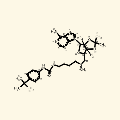 CN(CCCCNC(=O)Nc1ccc(C(C)(C)C)cc1)C[C@H]1OC(n2cnc3c(N)ncnc32)[C@@H]2OC(C)(C)O[C@H]12